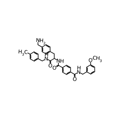 COc1cccc(CNC(=O)c2ccc(C(=O)NC(Cc3ccc(CN)cc3)C(=O)NCc3ccc(C)cc3)cc2)c1